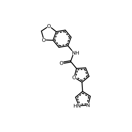 O=C(Nc1ccc2c(c1)OCO2)c1ccc(-c2cn[nH]c2)o1